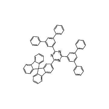 c1ccc(-c2cc(-c3ccccc3)cc(-c3nc(-c4cc(-c5ccccc5)cc(-c5ccccc5)c4)nc(-c4ccc5c(c4)C4(c6ccccc6-c6ccccc64)c4ccccc4-5)n3)c2)cc1